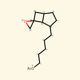 CC(=O)OCCCCCC1CCC2CC3(CO3)C12